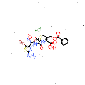 CO/N=C(\C(=O)NC1C(=O)N2C(C(=O)O)=C(COC(=O)c3ccccc3)CS[C@H]12)c1nc(N)sc1Br.Cl